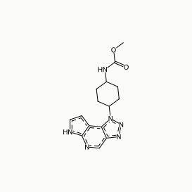 COC(=O)NC1CCC(n2nnc3cnc4[nH]ccc4c32)CC1